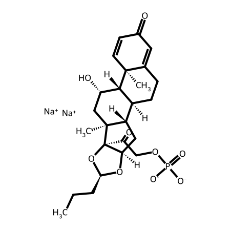 CCC[C@@H]1O[C@@H]2C[C@H]3[C@@H]4CCC5=CC(=O)C=C[C@]5(C)[C@H]4[C@@H](O)C[C@]3(C)[C@]2(C(=O)COP(=O)([O-])[O-])O1.[Na+].[Na+]